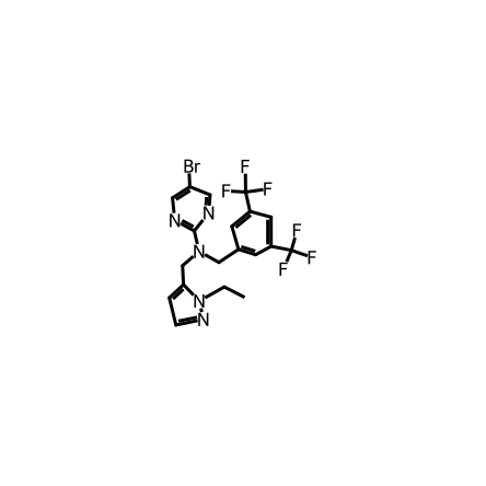 CCn1nccc1CN(Cc1cc(C(F)(F)F)cc(C(F)(F)F)c1)c1ncc(Br)cn1